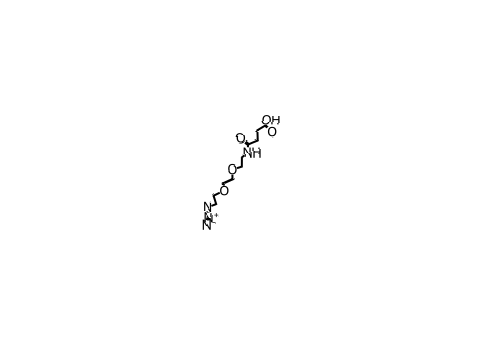 [N-]=[N+]=NCCOCCOCCNC(=O)CCC(=O)O